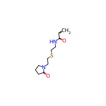 C=CC(=O)NCCSCCN1CCCC1=O